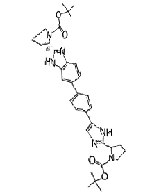 CC(C)(C)OC(=O)N1CCCC1c1ncc(-c2ccc(-c3ccc4nc([C@@H]5CCCN5C(=O)OC(C)(C)C)[nH]c4c3)cc2)[nH]1